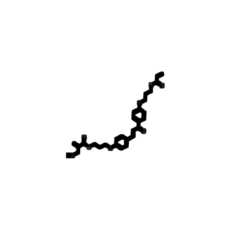 C=CC(=O)OCCCOc1ccc(C(=O)/C=C/c2ccc(OCCCOC(=O)C(=C)CO)cc2)cc1